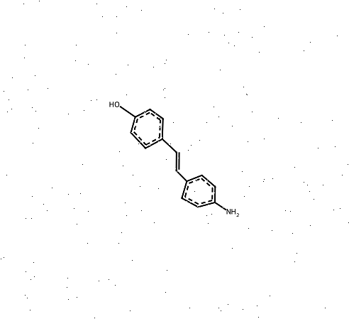 Nc1ccc(C=Cc2ccc(O)cc2)cc1